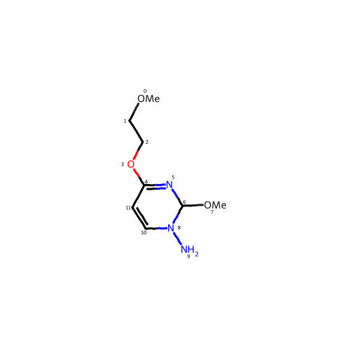 COCCOC1=NC(OC)N(N)C=C1